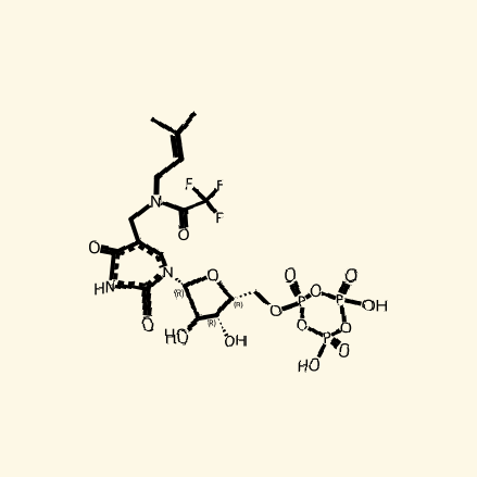 CC(C)=CCN(Cc1cn([C@@H]2O[C@H](COP3(=O)OP(=O)(O)OP(=O)(O)O3)[C@H](O)C2O)c(=O)[nH]c1=O)C(=O)C(F)(F)F